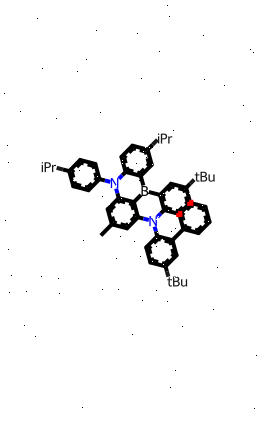 Cc1cc2c3c(c1)N(c1ccc(C(C)(C)C)cc1-c1ccccc1)c1ccc(C(C)(C)C)cc1B3c1cc(C(C)C)ccc1N2c1ccc(C(C)C)cc1